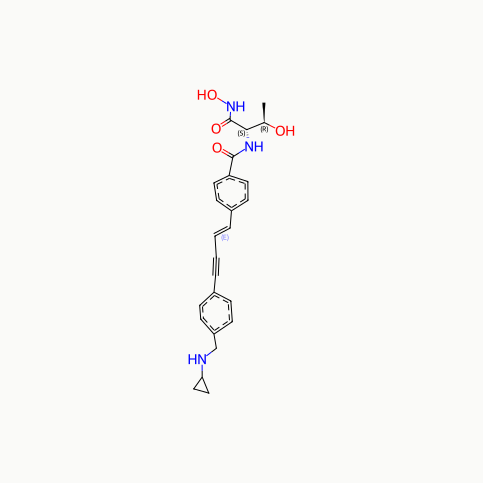 C[C@@H](O)[C@H](NC(=O)c1ccc(/C=C/C#Cc2ccc(CNC3CC3)cc2)cc1)C(=O)NO